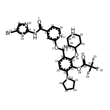 N=C(Oc1cc(C(=O)Nc2ncc(Br)s2)ccn1)c1ccc(N2CCCC2)c(OC(=O)C(F)(F)F)c1OC1CCNCC1